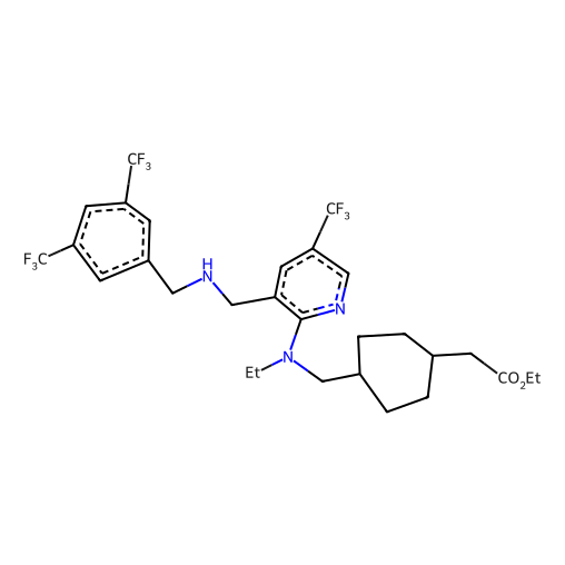 CCOC(=O)CC1CCC(CN(CC)c2ncc(C(F)(F)F)cc2CNCc2cc(C(F)(F)F)cc(C(F)(F)F)c2)CC1